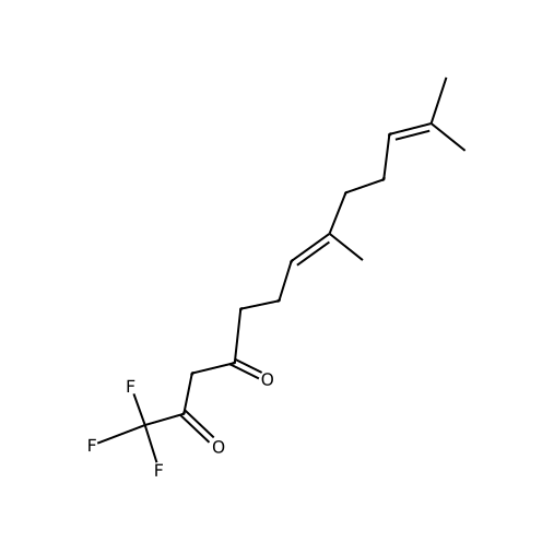 CC(C)=CCC/C(C)=C/CCC(=O)CC(=O)C(F)(F)F